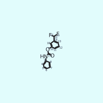 O=C(Nc1ccccc1)Oc1cccc(C(F)F)c1